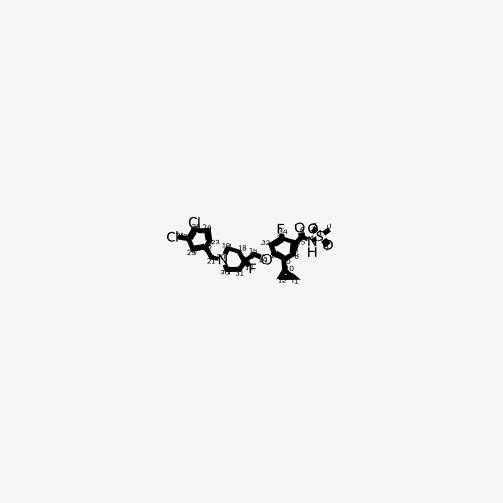 CS(=O)(=O)NC(=O)c1cc(C2CC2)c(OCC2(F)CCN(Cc3ccc(Cl)c(Cl)c3)CC2)cc1F